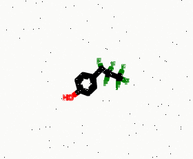 Oc1ccc([C](F)C(F)(F)C(F)(F)F)cc1